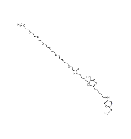 COCCOCCOCCOCCOCCOCCOCCOCCC(=O)NCCCC[C@H](NC(=O)CCCCCNC(=O)/C=C\C(=O)OC)C(=O)O